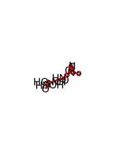 O=C(NCCCCNCC(O)c1ccc(O)c2[nH]c(=O)ccc12)c1ccc(C(=O)N2CCC(c3ccccc3)CC2C2CN3CCC2CC3)cc1